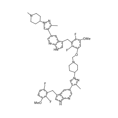 COc1ccc(F)c(Cc2c[nH]c3ncc(-c4cn(C5CCN(COc6cc(OC)c(F)c(Cc7c[nH]c8ncc(-c9cn(C%10CCN(C)CC%10)nc9C)cc78)c6F)CC5)nc4C)cc23)c1F